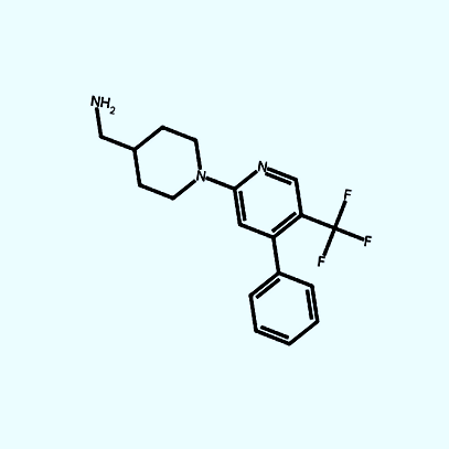 NCC1CCN(c2cc(-c3ccccc3)c(C(F)(F)F)cn2)CC1